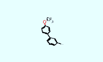 [CH2]c1cccc(-c2ccc(OC(F)(F)F)cc2)c1